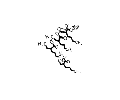 CCCCC(CC)C(=O)[O-].CCCCC(CC)C(=O)[O-].CCCCC(CC)C(=O)[O-].CCCCC(CC)C(=O)[O-].[Ba+2].[Cd+2]